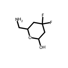 NCC1CC(F)(F)CC(O)O1